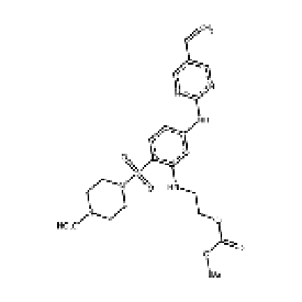 C=Cc1cnc(Nc2ccc(S(=O)(=O)N3CCN(C(=O)O)CC3)c(NCCOC(=O)OC(C)(C)C)c2)nc1